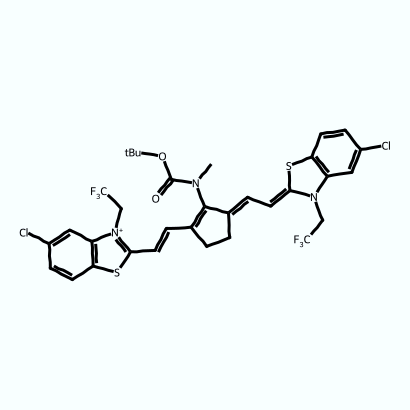 CN(C(=O)OC(C)(C)C)C1=C(/C=C/c2sc3ccc(Cl)cc3[n+]2CC(F)(F)F)CC/C1=C\C=C1/Sc2ccc(Cl)cc2N1CC(F)(F)F